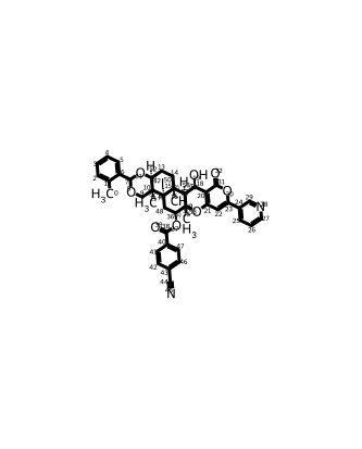 Cc1ccccc1C1OC[C@]2(C)[C@H](CC[C@]3(C)[C@H]4[C@@H](O)c5c(cc(-c6cccnc6)oc5=O)O[C@]4(C)[C@@H](OC(=O)c4ccc(C#N)cc4)C[C@@]23I)O1